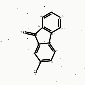 O=C1c2cc(Cl)ccc2-c2cnccc21